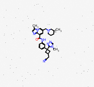 Cc1cnc2c(C(=O)Nc3cccc(C4(c5nncn5C)CC(CC#N)C4)c3)cc(CN3CCC[C@H](C)C3)cn12